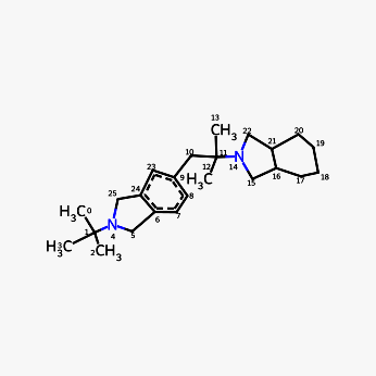 CC(C)(C)N1Cc2ccc(CC(C)(C)N3CC4CCCCC4C3)cc2C1